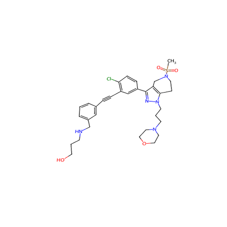 CS(=O)(=O)N1CCc2c(c(-c3ccc(Cl)c(C#Cc4cccc(CNCCCO)c4)c3)nn2CCCN2CCOCC2)C1